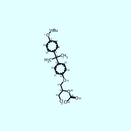 CCCCOc1ccc(C(C)(C)c2ccc(OCC(CCl)OC(=O)Cl)cc2)cc1